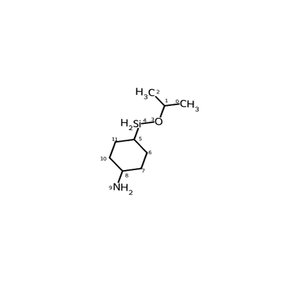 CC(C)O[SiH2]C1CCC(N)CC1